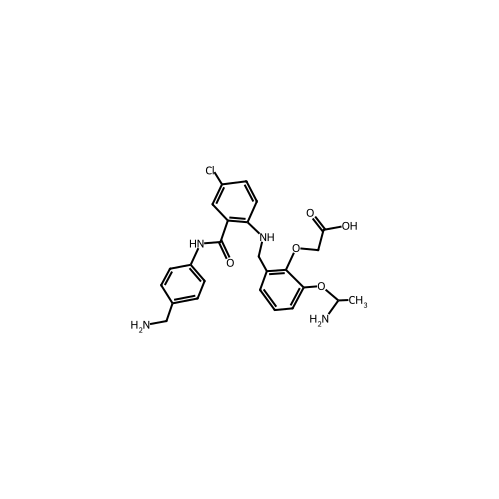 CC(N)Oc1cccc(CNc2ccc(Cl)cc2C(=O)Nc2ccc(CN)cc2)c1OCC(=O)O